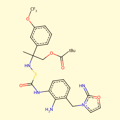 CC(C)(C)C(=O)OCC(C)(NSC(=O)Nc1cccc(Cn2ccoc2=N)c1N)c1cccc(OC(F)(F)F)c1